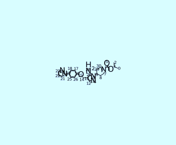 CC(C)OC(=O)N1CCC(n2ncc(COc3ccc(-n4cccn4)cc3)c2N)CC1